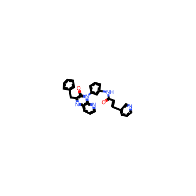 O=C(C=Cc1cccnc1)Nc1cccc(-n2c(=O)c(Cc3ccccc3)nc3cccnc32)c1